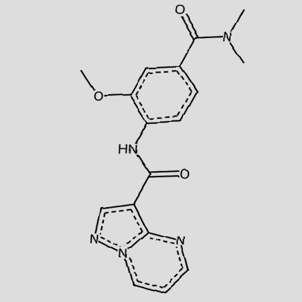 COc1cc(C(=O)N(C)C)ccc1NC(=O)c1cnn2cccnc12